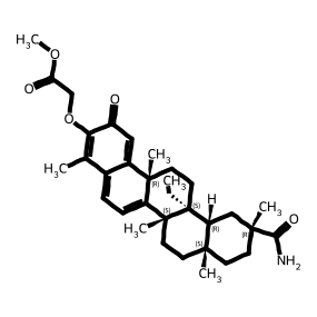 CC[C@@]12CC[C@@]3(C)C4=CC(=O)C(OCC(=O)OC)=C(C)C4=CC=C3[C@@]1(C)CC[C@@]1(C)CC[C@@](C)(C(N)=O)C[C@H]12